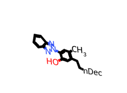 CCCCCCCCCCCCc1cc(O)c(-n2nc3ccccc3n2)cc1C